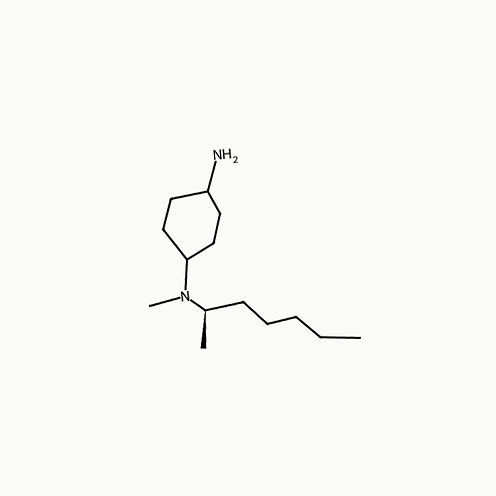 CCCCC[C@@H](C)N(C)C1CCC(N)CC1